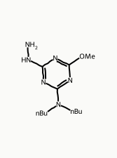 CCCCN(CCCC)c1nc(NN)nc(OC)n1